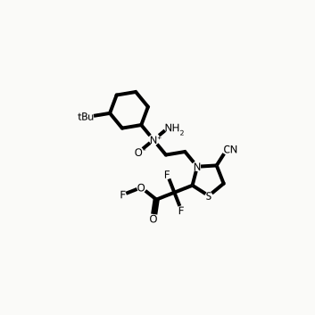 CC(C)(C)C1CCCC([N+](N)([O-])CCN2C(C#N)CSC2C(F)(F)C(=O)OF)C1